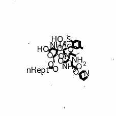 CCCCCCCC(=O)OC[C@H]1O[C@H](O)[C@H](NC(C)=O)[C@@H](OC(C)CN(C(=O)[C@H](C)N)[C@H](CCC(=O)Oc2cccnc2)C(N)=O)[C@@H]1O.Cc1ccc(S(=O)(=O)O)cc1